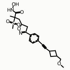 COCC1CC(C#Cc2ccc(C3=NOC(CC(C)(C(=O)NO)S(C)(=O)=O)C3)cc2)C1